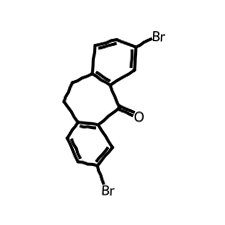 O=C1c2cc(Br)ccc2CCc2ccc(Br)cc21